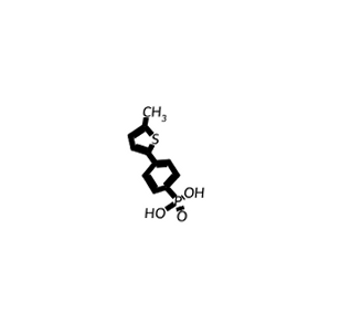 Cc1ccc(-c2ccc(P(=O)(O)O)cc2)s1